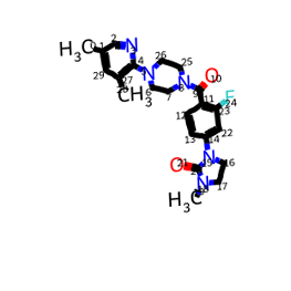 Cc1cnc(N2CCN(C(=O)c3ccc(N4CCN(C)C4=O)cc3F)CC2)c(C)c1